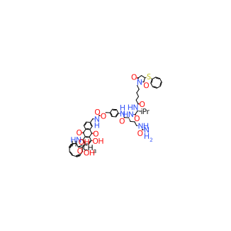 CC(C)[C@H](NC(=O)CCCCCN1C(=O)CC(SC2=C/C=C\C=C/C=C\2)C1=O)C(=O)N[C@@H](CCCNC(N)=O)C(=O)Nc1ccc(COC(=O)NCc2ccc3c(c2)C(=O)c2c(O)cc4c(c2C3=O)N[C@H]2C#C/C=C\C#C[C@@H](O)[C@@]43O[C@@]23[C@@H](C)O)cc1